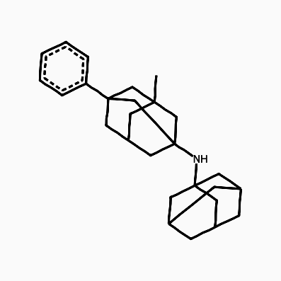 CC12CC3CC(NC45CC6CC(CC(C6)C4)C5)(C1)CC(c1ccccc1)(C3)C2